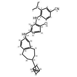 CP(C)c1cc(C#N)ccc1Nc1nc(Nc2ccc3c(c2)CCC(N2CC4CC2C4)CC3)ncc1Cl